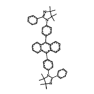 CC1(C)N=C(c2ccccc2)N(c2ccc(-c3c4ccccc4c(-c4ccc(N5C(c6ccccc6)=NC(C)(C)C5(C)C)cc4)c4ccccc34)cc2)C1(C)C